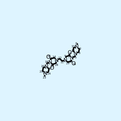 CN1CCN(CN2C(=O)CN(CCN3CC(=O)N(CN4CCN(C)CC4)C(=O)C3)CC2=O)CC1